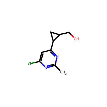 Cc1nc(Cl)cc(C2CC2CO)n1